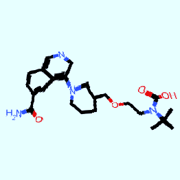 CC(C)(C)N(CCOCC1CCCN(c2cncc3ccc(C(N)=O)cc23)C1)C(=O)O